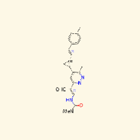 CNC(=O)N/C=C(\C=O)c1cc(C2C[C@@H]2/C=C/c2ccc(C)cc2)c(C)nn1